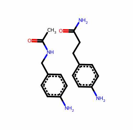 CC(=O)NCc1ccc(N)cc1.NC(=O)CCc1ccc(N)cc1